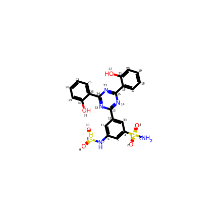 NS(=O)(=O)c1cc(N[SH](=O)=O)cc(-c2nc(-c3ccccc3O)nc(-c3ccccc3O)n2)c1